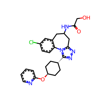 O=C(CO)NC1Cc2cc(Cl)ccc2-n2c(nnc2[C@H]2CC[C@H](Oc3ccccn3)CC2)C1